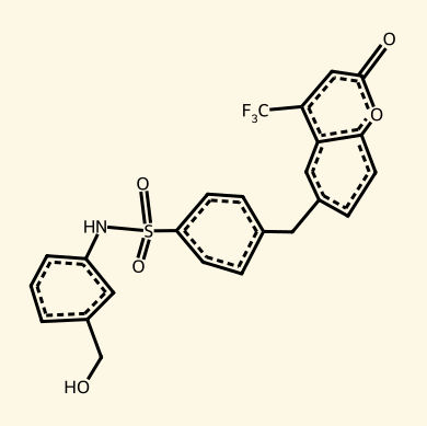 O=c1cc(C(F)(F)F)c2cc(Cc3ccc(S(=O)(=O)Nc4cccc(CO)c4)cc3)ccc2o1